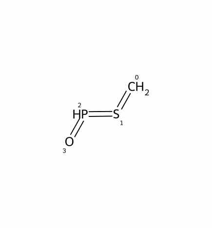 C=S=[PH]=O